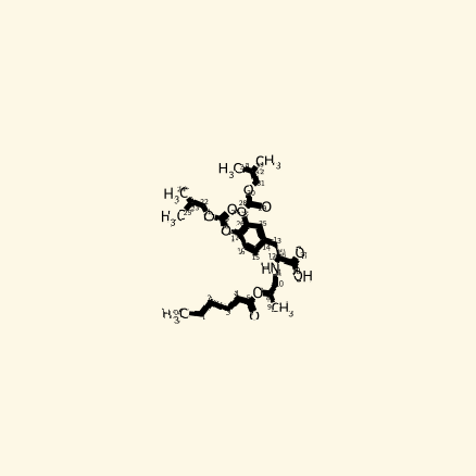 CCCCCC(=O)OC(C)CN[C@@H](Cc1ccc(OC(=O)OCC(C)C)c(OC(=O)OCC(C)C)c1)C(=O)O